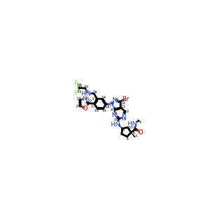 CNC(=O)[C@]1(C)CC[C@@H](Nc2ncc3c(Br)nn(-c4ccc(-c5ncco5)c(CNCC(F)F)c4)c3n2)C1